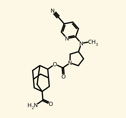 CN(c1ccc(C#N)cn1)C1CCN(C(=O)OC2C3CC4CC2CC(C(N)=O)(C4)C3)C1